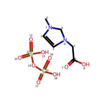 CN1C=CN(CC(=O)O)C1.O=S(=O)(O)OS(=O)(=O)O